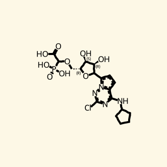 O=C(O)C(OC[C@H]1OC(c2ccc3c(NC4CCCC4)nc(Cl)nn23)[C@H](O)[C@@H]1O)P(=O)(O)O